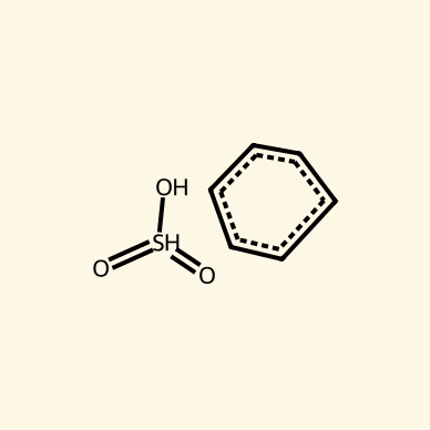 O=[SH](=O)O.c1ccccc1